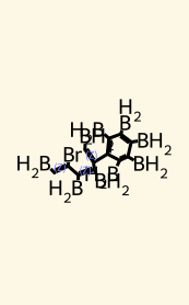 B/C=C(Br)/C(B)=C(B)\C(=C\B)c1c(B)c(B)c(B)c(B)c1B